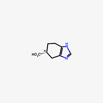 O=C(O)[C@@H]1CCc2[nH]cnc2C1